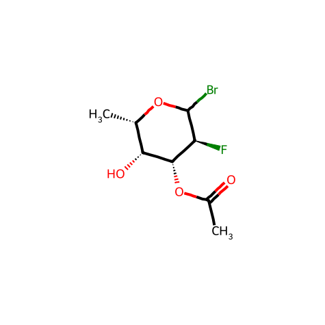 CC(=O)O[C@@H]1[C@H](O)[C@H](C)OC(Br)[C@H]1F